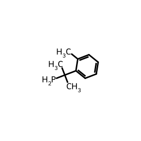 Cc1ccccc1C(C)(C)P